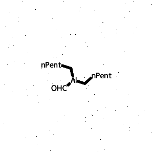 CCCCC[CH2][Al]([CH]=O)[CH2]CCCCC